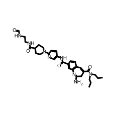 CCCN(CCC)C(=O)C1=Cc2ccc(C(=O)Nc3ccc(N4CCC(C(=O)NCCNC=O)CC4)nc3)cc2N=C(N)C1